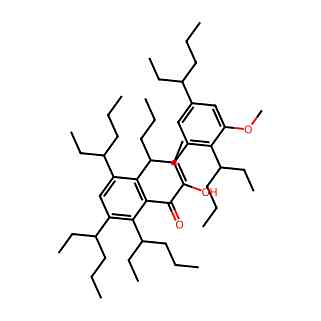 CCCC(CC)c1cc(C=C(O)C(=O)c2c(C(CC)CCC)c(C(CC)CCC)cc(C(CC)CCC)c2C(CC)CCC)c(C(CC)CCC)c(OC)c1